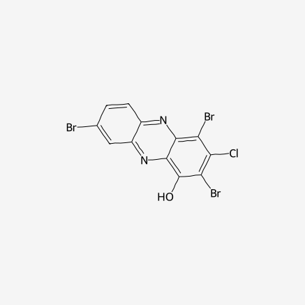 Oc1c(Br)c(Cl)c(Br)c2nc3ccc(Br)cc3nc12